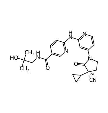 CC(C)(O)CNC(=O)c1ccc(Nc2cc(N3CC[C@@](C#N)(C4CC4)C3=O)ccn2)nc1